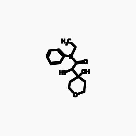 CCN(C(=O)C(S)C1(O)CCOCC1)c1ccccc1